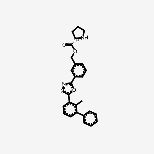 Cc1c(-c2ccccc2)cccc1-c1nnc(-c2cccc(COC(=O)[C@@H]3CCCN3)c2)o1